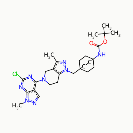 Cc1nn(CC23CCC(NC(=O)OC(C)(C)C)(CC2)CC3)c2c1CN(c1nc(Cl)nc3c1cnn3C)CC2